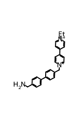 CC[n+]1ccc(-c2cc[n+](Cc3ccc(-c4ccc(CN)cc4)cc3)cc2)cc1